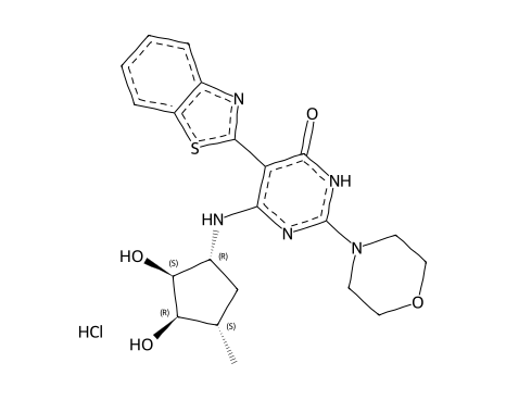 C[C@H]1C[C@@H](Nc2nc(N3CCOCC3)[nH]c(=O)c2-c2nc3ccccc3s2)[C@H](O)[C@@H]1O.Cl